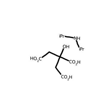 CC(C)NC(C)C.O=C(O)CC(O)(CC(=O)O)C(=O)O